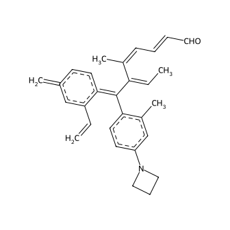 C=Cc1cc(=C)cc\c1=C(C(=C/C)/C(C)=C\C=C\C=O)\c1ccc(N2CCC2)cc1C